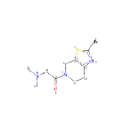 CC(C)c1nc2c(s1)CN(C(=O)CN(C)C)CC2